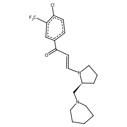 O=C(/C=C/N1CCC[C@H]1CN1CCCCC1)c1ccc(Cl)c(C(F)(F)F)c1